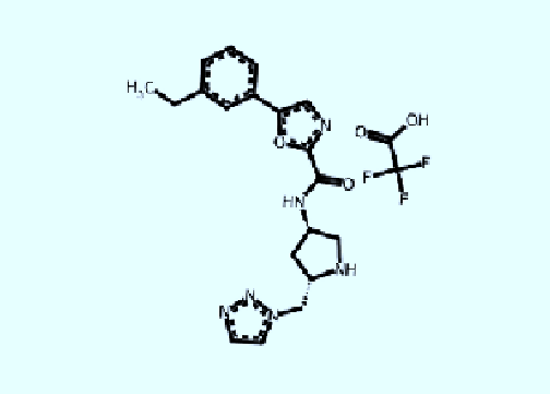 CCc1cccc(-c2cnc(C(=O)N[C@H]3CN[C@H](Cn4ccnn4)C3)o2)c1.O=C(O)C(F)(F)F